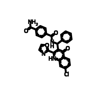 NC(=O)c1ccc(C(=O)NC(c2ccccc2)c2c(-c3ncco3)[nH]c3cc(Cl)ccc3c2=O)cc1